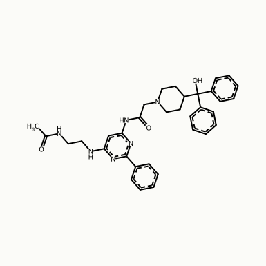 CC(=O)NCCNc1cc(NC(=O)CN2CCC(C(O)(c3ccccc3)c3ccccc3)CC2)nc(-c2ccccc2)n1